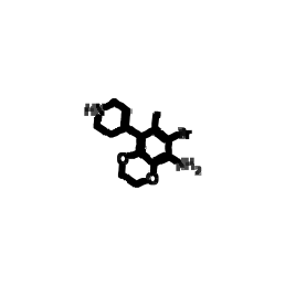 Cc1c(Br)c(N)c2c(c1C1=CCNCC1)OCCO2